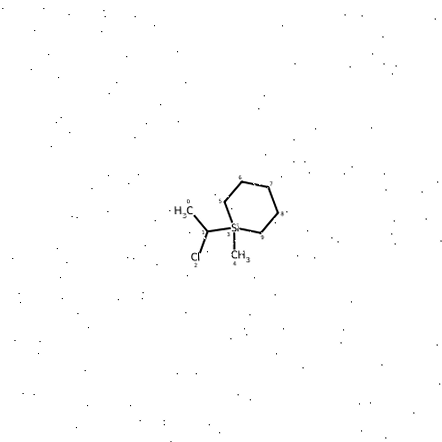 CC(Cl)[Si]1(C)CCCCC1